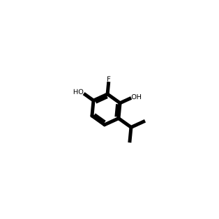 CC(C)c1ccc(O)c(F)c1O